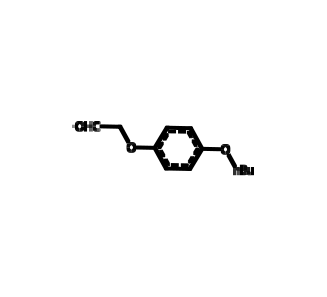 CCCCOc1ccc(OC[C]=O)cc1